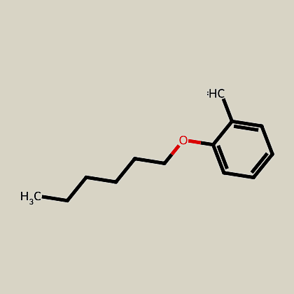 [CH]c1ccccc1OCCCCCC